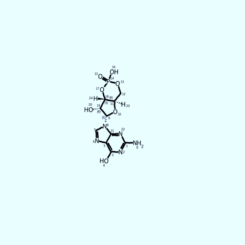 Nc1nc(O)c2ncn([C@H]3O[C@@H]4COP(=O)(O)O[C@H]4[C@H]3O)c2n1